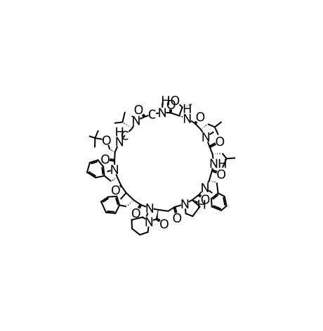 CC(C)C[C@@H]1NC(=O)[C@H](Cc2ccccc2)N(C)C(=O)[C@@H]2CCCN2C(=O)C[C@@H](C(=O)N2CCCCC2)N(C)C(=O)[C@H](Cc2ccccc2)C(C)C(=O)[C@H](Cc2ccccc2)N(C)C(=O)[C@H](COC(C)(C)C)NC[C@H](C(C)C)N(C)C(=O)CN(C)C(=O)[C@H]([C@@H](C)O)NC(=O)[C@H](CC(C)C)N(C)C1=O